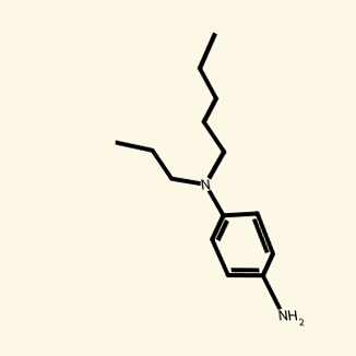 CCCCCN(CCC)c1ccc(N)cc1